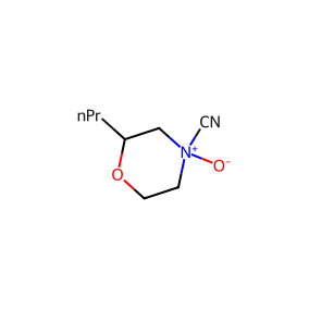 CCCC1C[N+]([O-])(C#N)CCO1